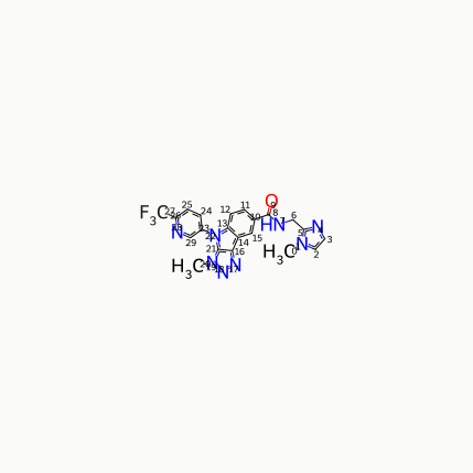 Cn1ccnc1CNC(=O)c1ccc2c(c1)c1nnn(C)c1n2-c1ccc(C(F)(F)F)nc1